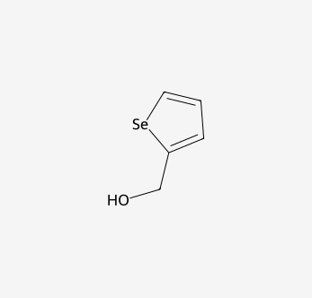 OCc1ccc[se]1